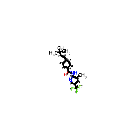 Cc1cc(C(F)(F)F)cnc1NC(=O)c1ccc(/C=C/C(C)(C)C)cc1